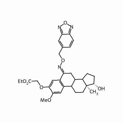 CCOC(=O)COc1cc2c(cc1OC)C1CC[C@@]3(C)C(CC[C@@H]3O)C1C/C2=N\OCc1ccc2nonc2c1